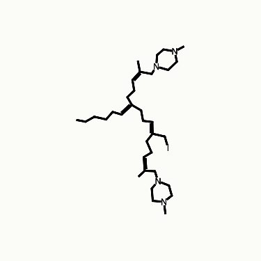 CCCCC/C=C(\CC/C=C(/C)CN1CCN(C)CC1)CC/C=C(/CI)CC/C=C(/C)CN1CCN(C)CC1